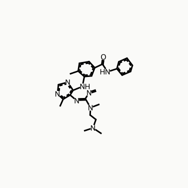 C=N/C(=N\c1c(C)ncnc1Nc1cc(C(=O)Nc2ccccc2)ccc1C)N(C)CCN(C)C